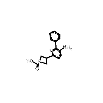 Nc1ccc(C2CN(C(=O)O)C2)nc1-c1ccccc1